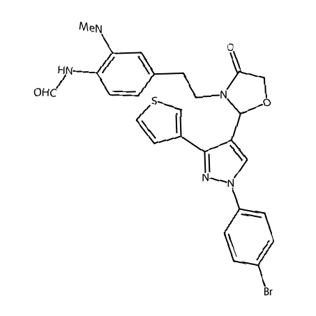 CNc1cc(CCN2C(=O)COC2c2cn(-c3ccc(Br)cc3)nc2-c2ccsc2)ccc1NC=O